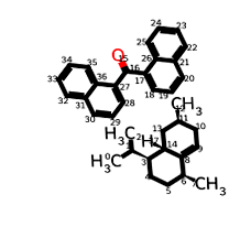 CC(C)[C@@H]1CC[C@H](C)C2=CC[C@H](C)C[C@H]21.O=C(c1cccc2ccccc12)c1cccc2ccccc12